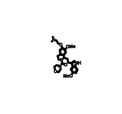 COc1ccc2[nH]cc(CCC3c4cc(OC)c(OCCN(C)C)cc4CCN3C(=O)N3CCOCC3)c2c1